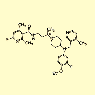 CCOc1ccc(N(Cc2cnccc2C)C2CCN([C@H](C)CCNC(=O)c3c(C)cc(F)nc3C)CC2)cc1F